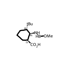 COBN[C@H]1[C@@H](C(=O)O)CCC[C@@H]1C(C)(C)C